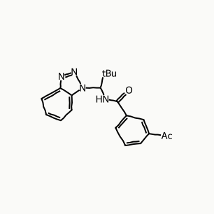 CC(=O)c1cccc(C(=O)NC(n2nnc3ccccc32)C(C)(C)C)c1